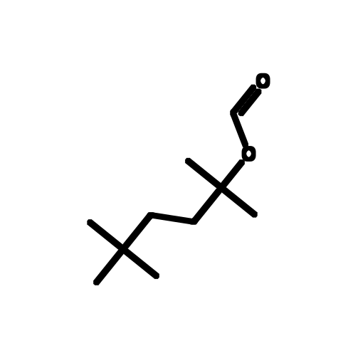 CC(C)(C)CCC(C)(C)OC=O